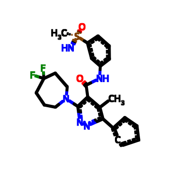 Cc1c(-c2ccccc2)nnc(N2CCCC(F)(F)CC2)c1C(=O)Nc1cccc([S@@](C)(=N)=O)c1